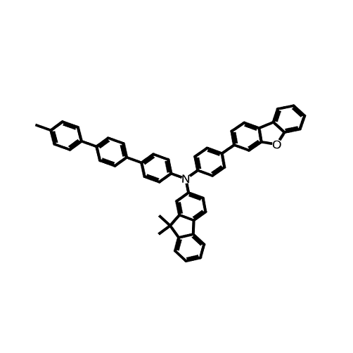 Cc1ccc(-c2ccc(-c3ccc(N(c4ccc(-c5ccc6c(c5)oc5ccccc56)cc4)c4ccc5c(c4)C(C)(C)c4ccccc4-5)cc3)cc2)cc1